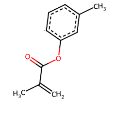 C=C(C)C(=O)Oc1[c]ccc(C)c1